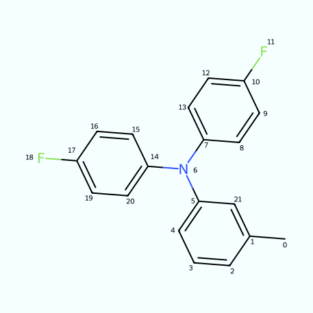 Cc1cccc(N(c2ccc(F)cc2)c2ccc(F)cc2)c1